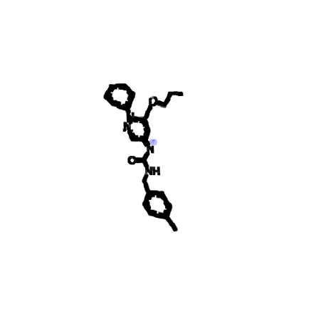 CCCOc1c/c(=N/C(=O)NCc2ccc(C)cc2)cnn1-c1ccccc1